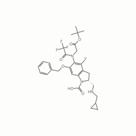 CC(C)(C)OC(=O)CN(C(=O)C(F)(F)F)c1c(OCc2ccccc2)cc2c(c1F)C[C@H](CNCC1CC1)N2C(=O)O